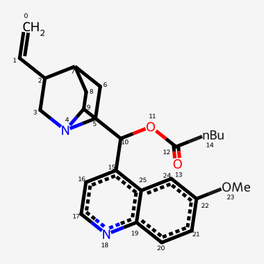 C=CC1CN2CCC1CC2C(OC(=O)CCCC)c1ccnc2ccc(OC)cc12